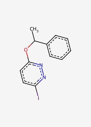 CC(Oc1ccc(I)nn1)c1ccccc1